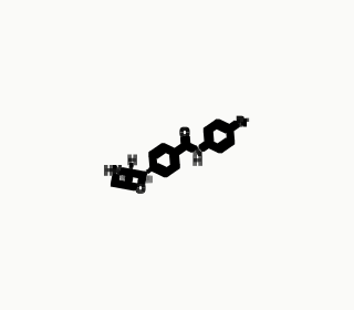 O=C(Nc1ccc(Br)cc1)c1ccc([C@@H]2OC3CN[C@H]32)cc1